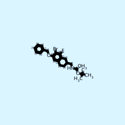 CC(C)(C)OC(=O)NCC1CCc2cc(OCc3ccccc3)c(Br)c(F)c2C1